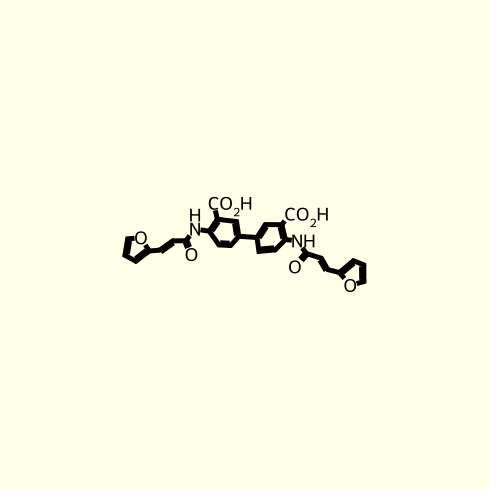 O=C(/C=C/c1ccco1)Nc1ccc(-c2ccc(NC(=O)/C=C/c3ccco3)c(C(=O)O)c2)cc1C(=O)O